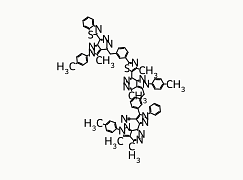 Cc1ccc(-n2nc3c(-c4nn(-c5ccccc5)c(-c5cccc(Cc6c7c(C)nnc(-c8sc(-c9cccc(Cc%10nnc(-c%11nc%12ccccc%12s%11)c%11nn(-c%12ccc(C)cc%12)c(C)c%10%11)c9)nc8C)c7nn6-c6ccc(C)cc6)c5)c4C#N)nnc(C)c3c2C)cc1